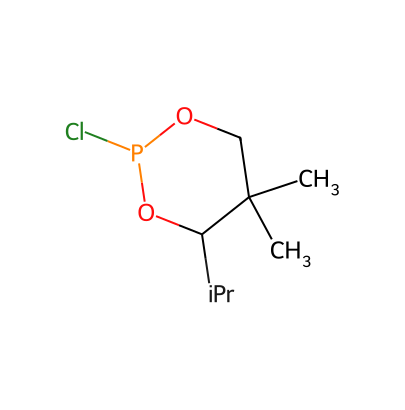 CC(C)C1OP(Cl)OCC1(C)C